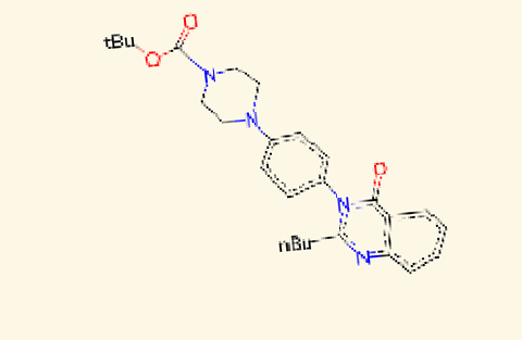 CCCCc1nc2ccccc2c(=O)n1-c1ccc(N2CCN(C(=O)OC(C)(C)C)CC2)cc1